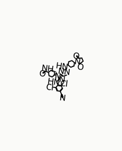 N#Cc1cc(Cl)c(Nc2nc3cnc(NC4CCC(N5C(=O)CCC5=O)CC4)nc3n2C2CCC(C(N)=O)CC2)c(Cl)c1